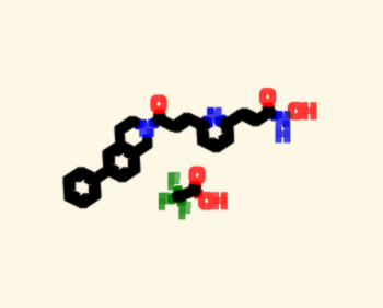 O=C(/C=C/c1cccc(/C=C/C(=O)N2CCc3cc(-c4ccccc4)ccc3C2)n1)NO.O=C(O)C(F)(F)F